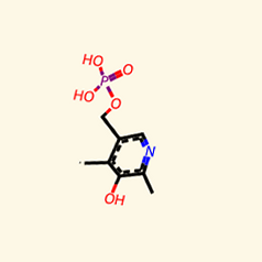 [CH2]c1c(COP(=O)(O)O)cnc(C)c1O